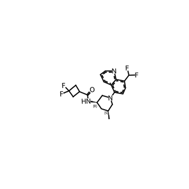 C[C@H]1C[C@@H](NC(=O)C2CC(F)(F)C2)CN(c2ccc(C(F)F)c3ncccc23)C1